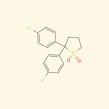 O=S1(=O)CCCC1(c1ccc(F)cc1)c1ccc(F)cc1